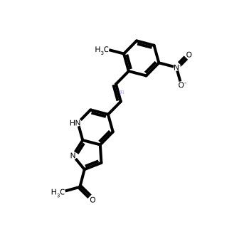 CC(=O)c1cc2cc(/C=C/c3cc([N+](=O)[O-])ccc3C)c[nH]c-2n1